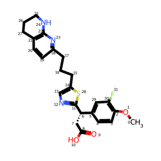 COc1ccc([C@H](CC(=O)O)c2ncc(CCCc3ccc4c(n3)NCCC4)s2)cc1F